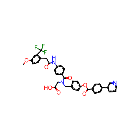 COc1ccc(CC(=O)Nc2ccc(C(=O)N(CC(=O)O)Cc3ccc(OC(=O)c4ccc(-c5cccnc5)cc4)cc3)cc2)c(C(F)(F)F)c1